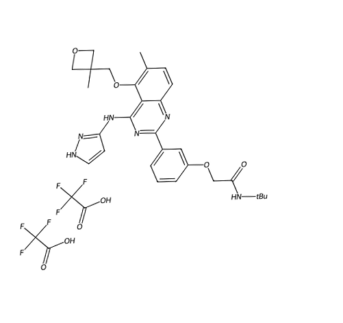 Cc1ccc2nc(-c3cccc(OCC(=O)NC(C)(C)C)c3)nc(Nc3cc[nH]n3)c2c1OCC1(C)COC1.O=C(O)C(F)(F)F.O=C(O)C(F)(F)F